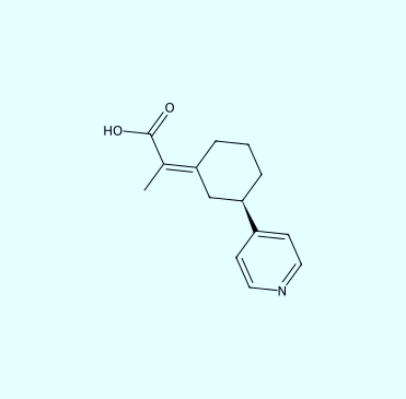 C/C(C(=O)O)=C1/CCC[C@@H](c2ccncc2)C1